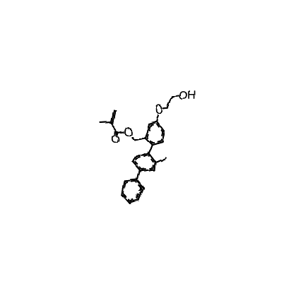 C=C(C)C(=O)OCc1cc(OCCO)ccc1-c1ccc(-c2ccccc2)cc1C